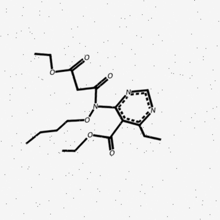 CCCCON(C(=O)CC(=O)OCC)c1ncnc(CC)c1C(=O)OCC